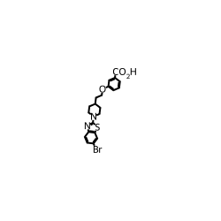 O=C(O)c1cccc(OCCC2CCN(c3nc4ccc(Br)cc4s3)CC2)c1